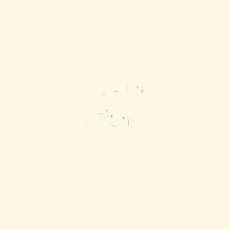 CC(C)c1cnc(C(C(C)C)C2COCCN2)[nH]1